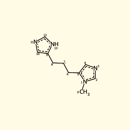 Cn1cncc1C[CH]Cc1cnc[nH]1